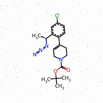 C[C@H](N=[N+]=[N-])c1cc(Cl)ccc1C1=CCN(C(=O)OC(C)(C)C)CC1